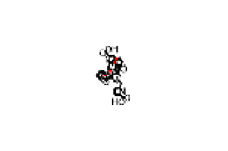 COC(=O)C12CN(Cc3cccc(C(=O)O)n3)CC(C(=O)OC)(C1=O)C(c1ccccn1)N(Cc1cccc(C(=O)O)n1)C2c1ccccn1